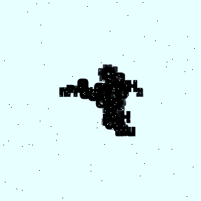 CCCC(=O)OCOC(=O)c1oc2ccccc2c1C1C[C@@H](C2CCCCC2)[C@@H](C(N)=O)N1C(=O)[C@H]1CC[C@H](C(CF)NC(=O)OC(C)(C)C)CC1